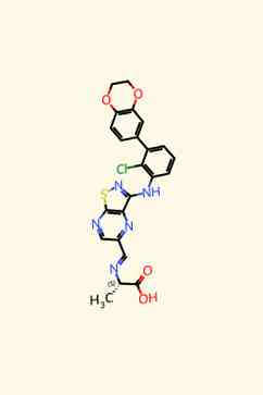 C[C@H](N=Cc1cnc2snc(Nc3cccc(-c4ccc5c(c4)OCCO5)c3Cl)c2n1)C(=O)O